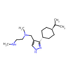 CNCCN(C)Cc1c[nH]nc1[C@H]1CC[C@H](C(C)C)CC1